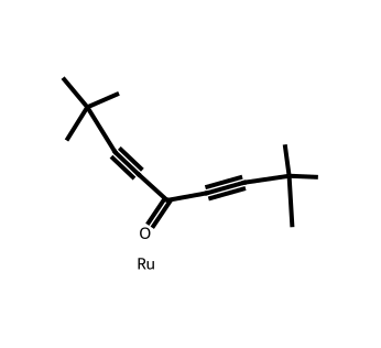 CC(C)(C)C#CC(=O)C#CC(C)(C)C.[Ru]